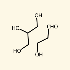 O=CCCO.OCC(O)CO